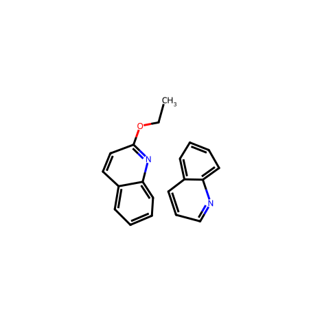 CCOc1ccc2ccccc2n1.c1ccc2ncccc2c1